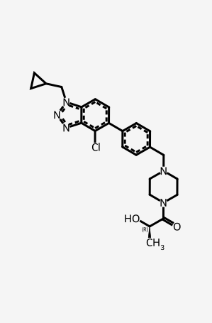 C[C@@H](O)C(=O)N1CCN(Cc2ccc(-c3ccc4c(nnn4CC4CC4)c3Cl)cc2)CC1